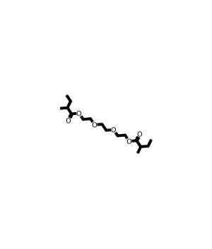 CCC(C)C(=O)OCCOCCOCCOC(=O)C(C)CC